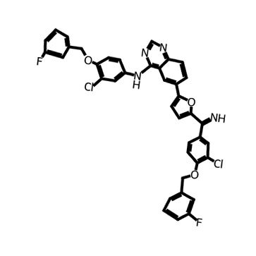 N=C(c1ccc(OCc2cccc(F)c2)c(Cl)c1)c1ccc(-c2ccc3ncnc(Nc4ccc(OCc5cccc(F)c5)c(Cl)c4)c3c2)o1